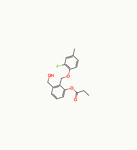 CCC(=O)Oc1cccc(CO)c1COc1ccc(C)cc1F